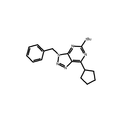 CC(C)(C)c1nc(C2CCCC2)c2nnn(Cc3ccccc3)c2n1